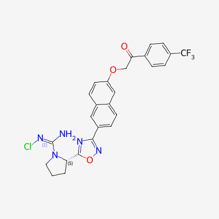 N/C(=N/Cl)N1CCC[C@H]1c1nc(-c2ccc3cc(OCC(=O)c4ccc(C(F)(F)F)cc4)ccc3c2)no1